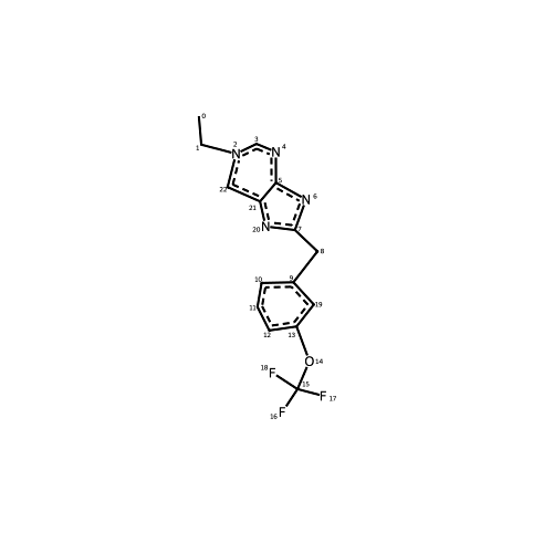 CCn1cnc2nc(Cc3cccc(OC(F)(F)F)c3)nc-2c1